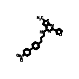 Cc1cc2c(NCCCc3ccc(-c4ccc([N+](=O)[O-])cc4)cc3)nc(-c3ccoc3)nc2s1